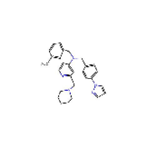 COc1cccc(CN(Cc2ccc(-n3cccn3)cc2)c2ccnc(CN3CCCCC3)c2)c1